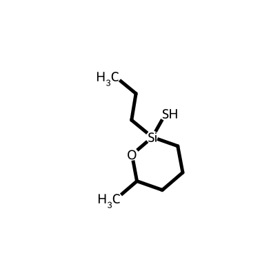 CCC[Si]1(S)CCCC(C)O1